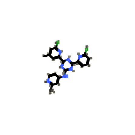 Cc1cc(Cl)nc(-c2nc(Nc3ccnc(C(F)(F)F)c3)nc(-c3cccc(Cl)n3)n2)c1